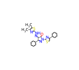 Cc1nc(NN=C2C(=O)N(c3nc(-c4ccccc4)cs3)N=C2c2ccccc2)sc1C